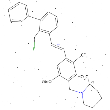 COc1cc(/C=C/c2cccc(-c3ccccc3)c2CF)c(C(F)(F)F)cc1CN1CCCC[C@H]1C(=O)O